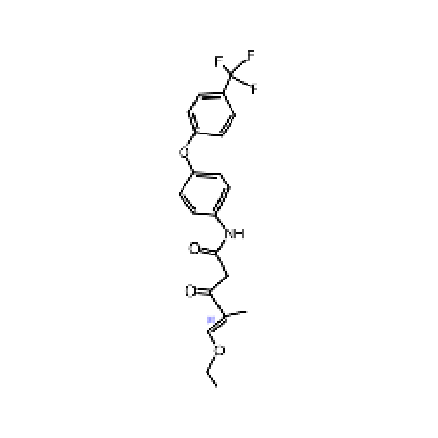 CCO/C=C(\C)C(=O)CC(=O)Nc1ccc(Oc2ccc(C(F)(F)F)cc2)cc1